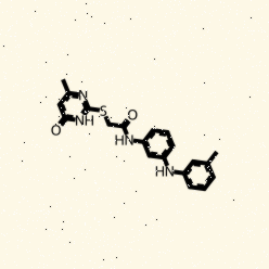 Cc1cccc(Nc2cccc(NC(=O)CSc3nc(C)cc(=O)[nH]3)c2)c1